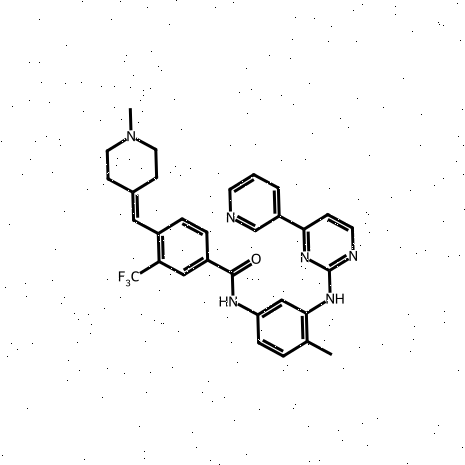 Cc1ccc(NC(=O)c2ccc(C=C3CCN(C)CC3)c(C(F)(F)F)c2)cc1Nc1nccc(-c2cccnc2)n1